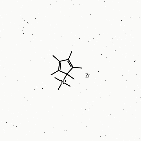 CC1=C(C)C(C)([N+](C)(C)C)C(C)=C1C.[Zr]